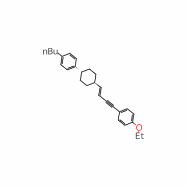 CCCCc1ccc([C@H]2CC[C@H](C=CC#Cc3ccc(OCC)cc3)CC2)cc1